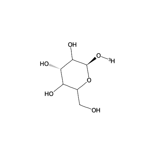 [3H]O[C@H]1OC(CO)C(O)[C@H](O)C1O